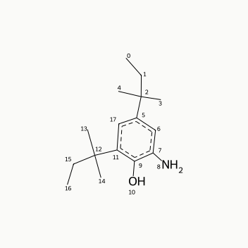 CCC(C)(C)c1cc(N)c(O)c(C(C)(C)CC)c1